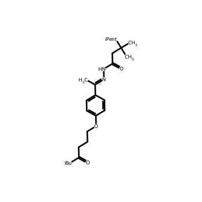 CCCC(C)C(C)(C)CC(=O)N/N=C(\C)c1ccc(OCCCC(=O)C(C)CC)cc1